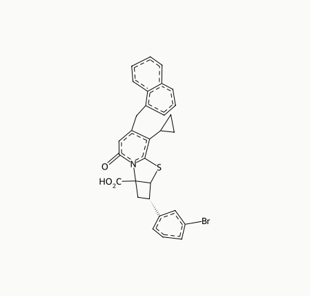 O=C(O)C12C[C@@H](c3cccc(Br)c3)C1Sc1c(C3CC3)c(Cc3cccc4ccccc34)cc(=O)n12